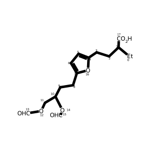 CCC(CCc1ccc(CCC(COC=O)OC=O)o1)C(=O)O